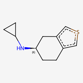 c1scc2c1CC[C@@H](NC1CC1)C2